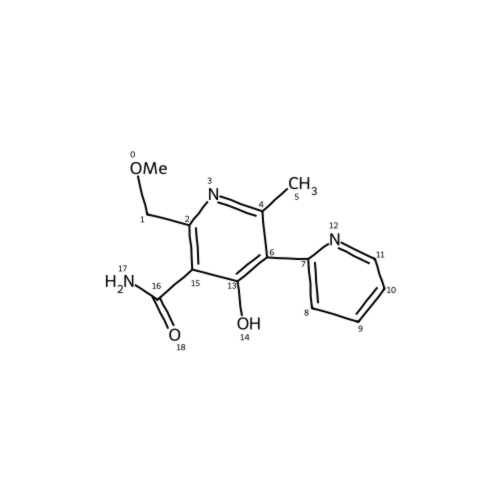 COCc1nc(C)c(-c2ccccn2)c(O)c1C(N)=O